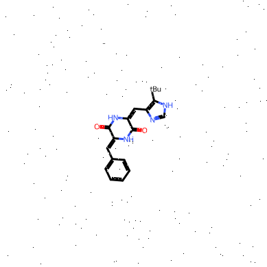 CC(C)(C)c1[nH]cnc1/C=c1/[nH]c(=O)/c(=C/c2ccccc2)[nH]c1=O